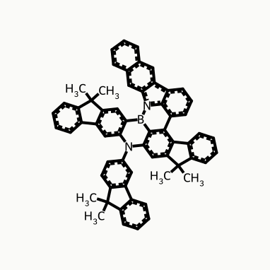 CC1(C)c2ccccc2-c2cc(N3c4cc5c(cc4B4c6c3cc3c(c6-c6cccc7c8cc9ccccc9cc8n4c67)-c4ccccc4C3(C)C)C(C)(C)c3ccccc3-5)ccc21